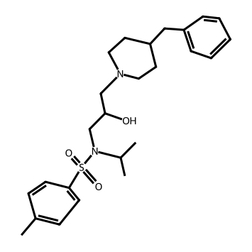 Cc1ccc(S(=O)(=O)N(CC(O)CN2CCC(Cc3ccccc3)CC2)C(C)C)cc1